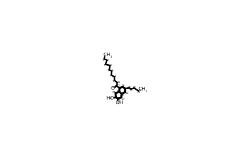 CCCCCCCCCCCC(=O)c1cc(CCCCC)cc2cc(O)c(O)cc12